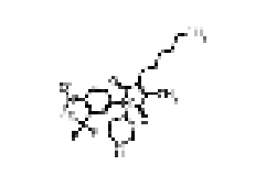 CCCCCCC1=C(C)C(=O)[N+](c2ccc([N+](=O)[O-])c(C(F)(F)F)c2)(N2CCNCC2)C1=O